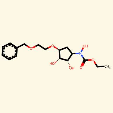 CCOC(=O)N(O)[C@@H]1C[C@H](OCCOCc2ccccc2)[C@@H](O)[C@H]1O